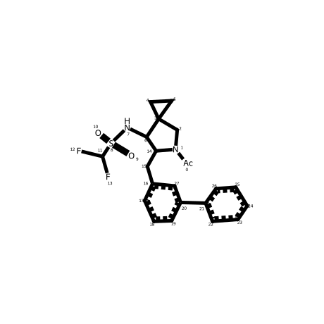 CC(=O)N1CC2(CC2)C(NS(=O)(=O)C(F)F)C1Cc1cccc(-c2ccccc2)c1